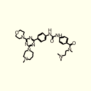 CN(C)CCN(C)C(=O)c1ccc(NC(=O)Nc2ccc(-c3nc(N4CCOCC4)nc(N4CCCN(C)CC4)n3)cc2)cc1